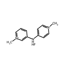 C[n+]1ccc(Nc2ccc[n+](C)c2)cc1.F